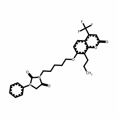 CCCc1c(OCCCCCN2C(=O)CN(c3ccccc3)C2=O)ccc2c(C(F)(F)F)cc(=O)oc12